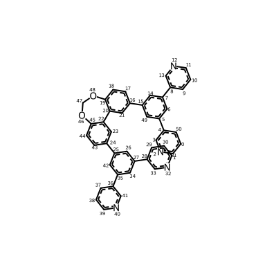 c1cncc(-c2cc(-c3cccnc3)cc(-c3ccc4c(c3)-c3cc(-c5cc(-c6cccnc6)cc(-c6cccnc6)c5)ccc3OCO4)c2)c1